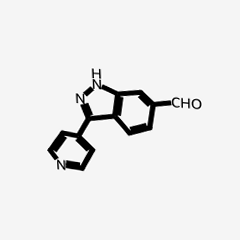 O=Cc1ccc2c(-c3ccncc3)n[nH]c2c1